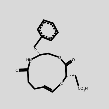 O=C(O)C[C@@H]1C/C=C/CCC(=O)N[C@H](Cc2ccccc2)COC1=O